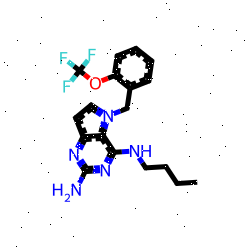 CCCCNc1nc(N)nc2ccn(Cc3ccccc3OC(F)(F)F)c12